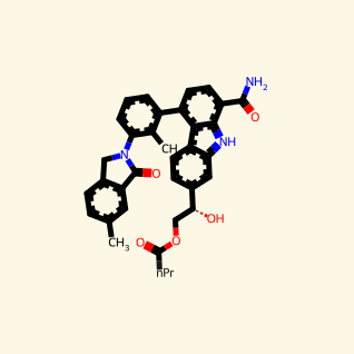 CCCC(=O)OC[C@@H](O)c1ccc2c(c1)[nH]c1c(C(N)=O)ccc(-c3cccc(N4Cc5ccc(C)cc5C4=O)c3C)c12